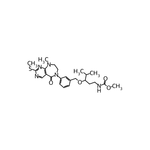 COC(=O)NCCC(OCc1cccc(N2CCN(C)c3nc(SC)ncc3C2=O)c1)C(C)C